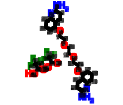 Nc1ccc2c(OCCOCCOCCOc3cccc4nc(N)ccc34)cccc2n1.O=C(O)C(F)(F)F.O=C(O)C(F)(F)F